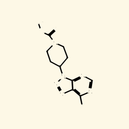 CC(C)(C)OC(=O)N1CCC(n2nnc3c(Cl)ncnc32)CC1